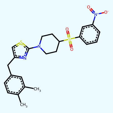 Cc1ccc(Cc2csc(N3CCC(S(=O)(=O)c4cccc([N+](=O)[O-])c4)CC3)n2)cc1C